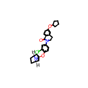 CN1[C@@H]2CC[C@H]1C[C@@H](Oc1ccc(N3CCc4cc(OC5CCCC5)ccc4C3=O)cc1Cl)C2